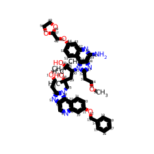 COCCc1nc2cnc3cc(OCc4ccccc4)ccc3c2n1CC(C)(O)CC(n1c(CCOC)nc2c(N)nc3cc(OCC4OCCO4)ccc3c21)C(C)(C)O